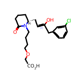 O=C(O)COCCCCN1C(=O)CCC[C@@H]1C/C=C(\O)Cc1cccc(Cl)c1